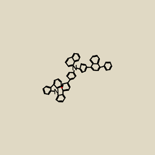 c1ccc(-c2ccc(-c3ccc(N(c4ccc(-c5ccc(-c6ccccc6-n6c7ccccc7c7ccccc76)cc5)cc4)c4cccc5ccccc45)cc3)c3ccccc23)cc1